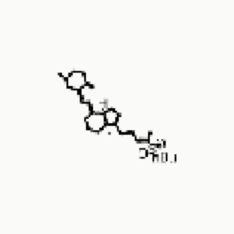 C=C1CCC(C)C/C1=C/C=C1\CCC[C@]2(C)C(CC/C=C(\C)S(=O)(=O)CCCC)=CC[C@@H]12